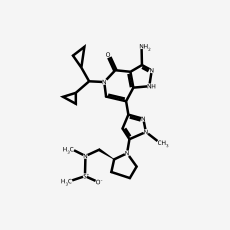 CN(C[C@@H]1CCCN1c1cc(-c2cn(C(C3CC3)C3CC3)c(=O)c3c(N)n[nH]c23)nn1C)[S+](C)[O-]